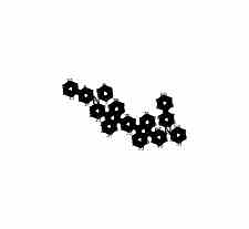 C1=CCCC(N(c2ccc(-c3ccccc3)cc2)c2cccc(-c3c4ccccc4c(-c4ccc(-c5c6ccccc6c(-c6cccc(N(c7ccccc7)c7ccc(-c8ccccc8)cc7)c6)c6ccccc56)cc4)c4ccccc34)c2)=C1